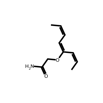 C\C=C/C=C(\C=C/C)OCC(N)=O